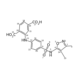 Cc1noc(NS(=O)(=O)c2ccc(Nc3cc(C(=O)O)ccc3C(=O)O)cc2)c1C